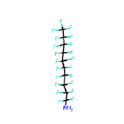 NC(F)(F)C(F)(F)C(F)(F)C(F)(F)C(F)(F)C(F)(F)C(F)(F)C(F)(F)C(F)(F)C(F)(F)F